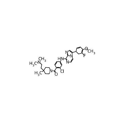 COC1=C(F)CC(c2cnc3c(Nc4ccc(C(=O)N5CCC(C)(CCN(C)C)CC5)c(Cl)c4)nccn23)C=C1